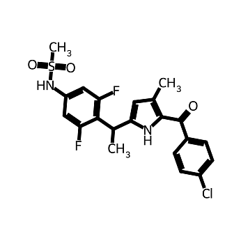 Cc1cc(C(C)c2c(F)cc(NS(C)(=O)=O)cc2F)[nH]c1C(=O)c1ccc(Cl)cc1